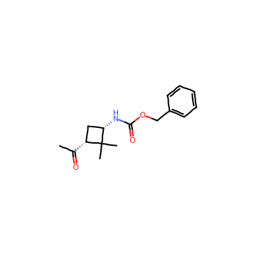 CC(=O)[C@@H]1C[C@H](NC(=O)OCc2ccccc2)C1(C)C